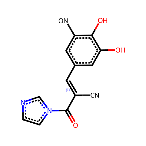 N#C/C(=C\c1cc(O)c(O)c(N=O)c1)C(=O)n1ccnc1